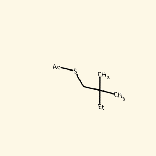 CCC(C)(C)CSC(C)=O